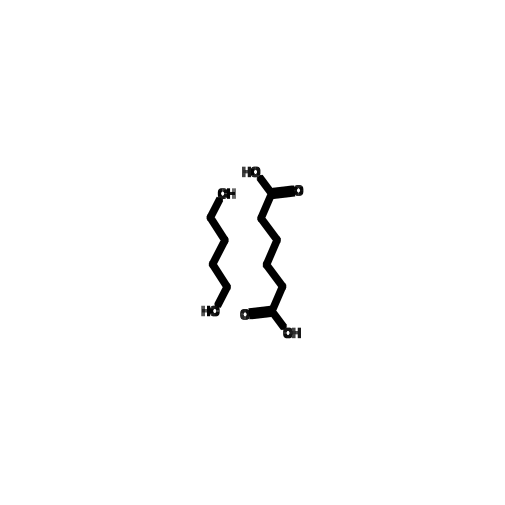 O=C(O)CCCCC(=O)O.OCCCCO